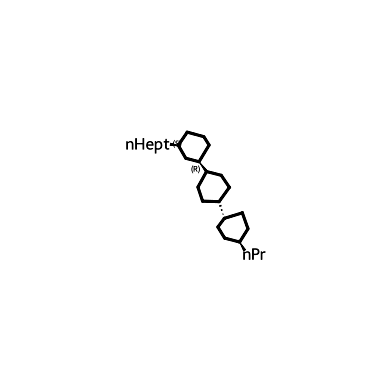 CCCCCCC[C@H]1CCC[C@@H](C2CCC([C@H]3CC[C@H](CCC)CC3)CC2)C1